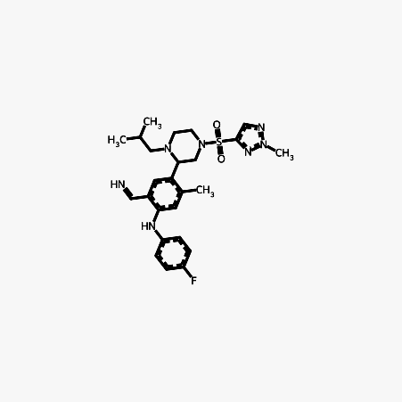 Cc1cc(Nc2ccc(F)cc2)c(C=N)cc1C1CN(S(=O)(=O)c2cnn(C)n2)CCN1CC(C)C